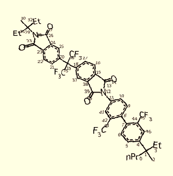 CCCC(C)(CC)c1ccc(-c2ccc(N3C(=O)c4ccc(C(c5ccc6c(c5)C(=O)N(C(C)(CC)CC)C6=O)(C(F)(F)F)C(F)(F)F)cc4C3=O)cc2C(F)(F)F)c(C(F)(F)F)c1